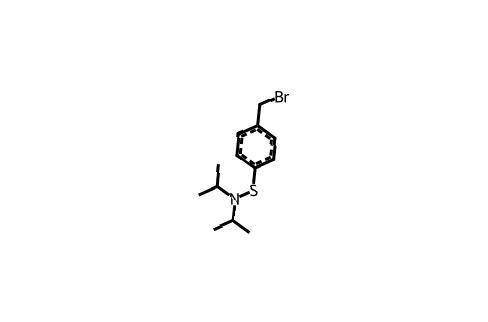 CC(C)N(Sc1ccc(CBr)cc1)C(C)C